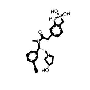 C#Cc1cccc([C@@H](CN2CC[C@H](O)C2)N(C)C(=O)Cc2ccc3c(c2)NS(O)(O)C3)c1